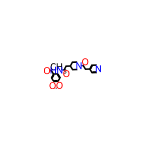 CC(=O)c1cc2c(cc1NC(=O)CC1CCN(C(=O)Cc3ccncc3)CC1)OCO2